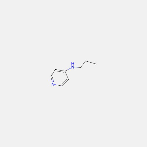 CCCNc1ccncc1